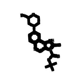 CC(C)(C)OC(=O)n1c(=O)[nH]c2c3cc(C4CCOC(Br)C4)ccc3ncc21